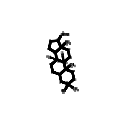 CCCCCC1CCC2[C@@H]3CCC4C[C@@](C)(O)CCC4(C)[C@H]3CCC12C